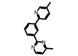 Cc1ccc(-c2cccc(-c3nccc(C)n3)c2)nc1